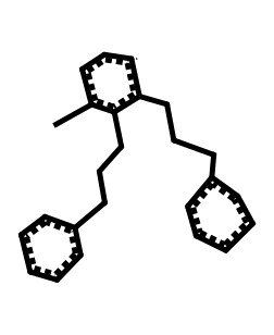 Cc1cc[c]c(CCCc2ccccc2)c1CCCc1ccccc1